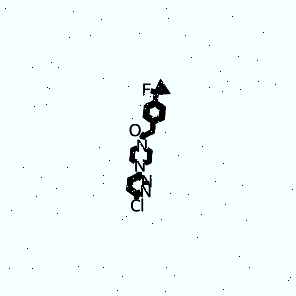 O=C(Cc1ccc(C2(F)CC2)cc1)N1CCN(c2ccc(Cl)nn2)CC1